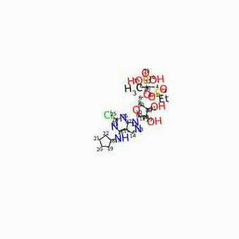 CCS(=O)(=O)C[C@](C)(OC[C@H]1O[C@@H](n2ncc3c(NC4CCCC4)nc(Cl)nc32)[C@H](O)[C@@H]1O)P(=O)(O)O